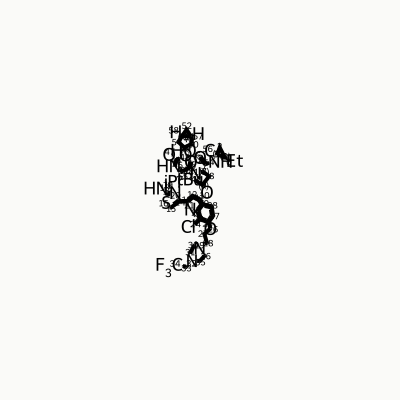 CC[C@@H]1C[C@]1(NC(=O)[C@@H]1C[C@@H](Oc2cc(-c3csc(NC(C)C)n3)nc3c(Cl)c(OCCN4CCN(CC(F)(F)F)CC4)ccc23)CN1C(=O)[C@@H](NC(=O)O[C@@H]1C[C@@H]2C[C@@H]2C1)C(C)(C)C)C(=O)O